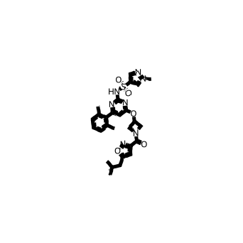 Cc1cccc(C)c1-c1cc(OC2CN(C(=O)c3cc(CC(C)C)on3)C2)nc(NS(=O)(=O)c2cnn(C)c2)n1